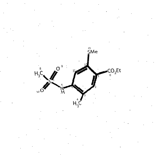 CCOC(=O)c1cc(C)c(NS(C)(=O)=O)cc1SC